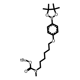 CN(CCCCCCOc1ccc(B2OC(C)(C)C(C)(C)O2)cc1)C(=O)OC(C)(C)C